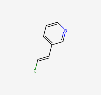 ClC=Cc1cccnc1